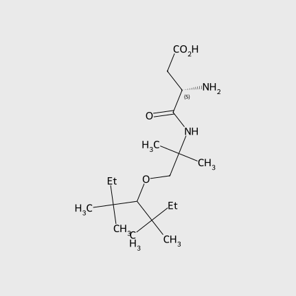 CCC(C)(C)C(OCC(C)(C)NC(=O)[C@@H](N)CC(=O)O)C(C)(C)CC